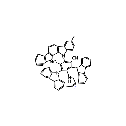 C/C=C\CNc1c(-n2c3ccccc3c3ccccc32)c(C#N)c(-n2c3ccc(C)cc3c3ccc4c5ccc#cc5sc4c32)c(C#N)c1-n1c2ccccc2c2ccccc21